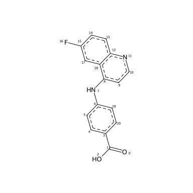 O=C(O)c1ccc(Nc2ccnc3ccc(F)cc23)cc1